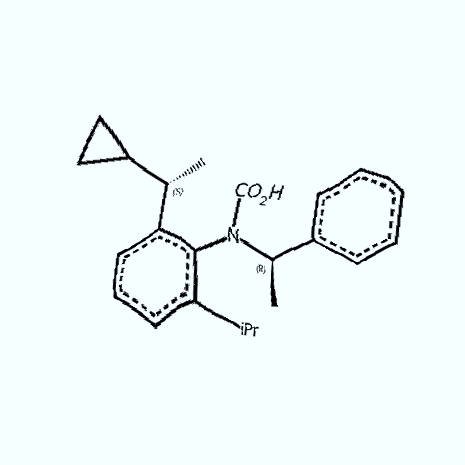 CC(C)c1cccc([C@@H](C)C2CC2)c1N(C(=O)O)[C@H](C)c1ccccc1